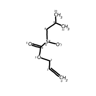 C=CCOC(=O)[S+]([O-])CC(C)C